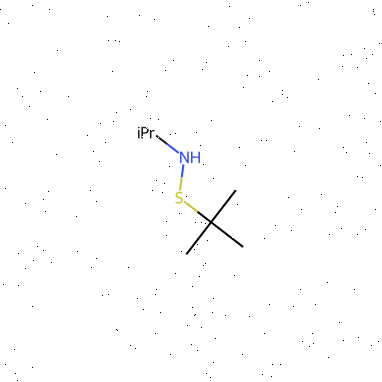 CC(C)NSC(C)(C)C